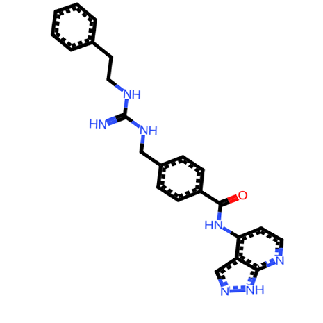 N=C(NCCc1ccccc1)NCc1ccc(C(=O)Nc2ccnc3[nH]ncc23)cc1